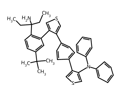 CCC(N)(CC)c1ccc(C(C)(C)C)cc1-c1cscc1-c1ccc(-c2cscc2N(c2ccccc2)c2ccccc2)cc1